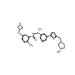 Cc1ccc(OC2CNC2)cc1C(=O)N[C@H](C)c1cccc(-c2ccc(CN3CC[C@H](O)C3)s2)c1